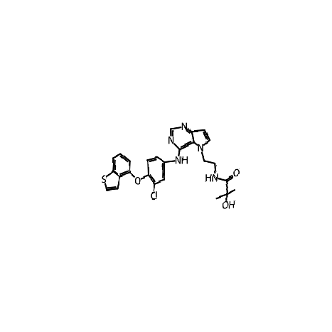 CC(C)(O)C(=O)NCCn1ccc2ncnc(Nc3ccc(Oc4cccc5sccc45)c(Cl)c3)c21